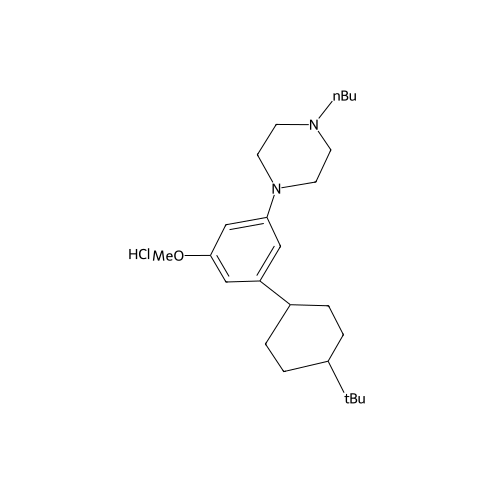 CCCCN1CCN(c2cc(OC)cc(C3CCC(C(C)(C)C)CC3)c2)CC1.Cl